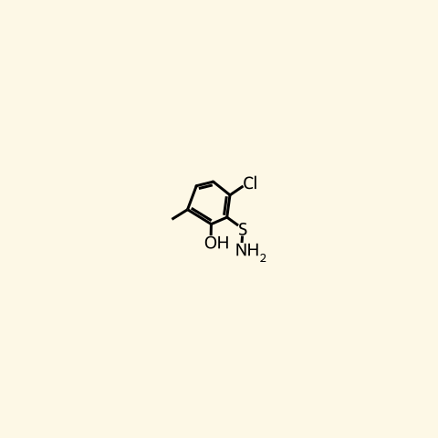 Cc1ccc(Cl)c(SN)c1O